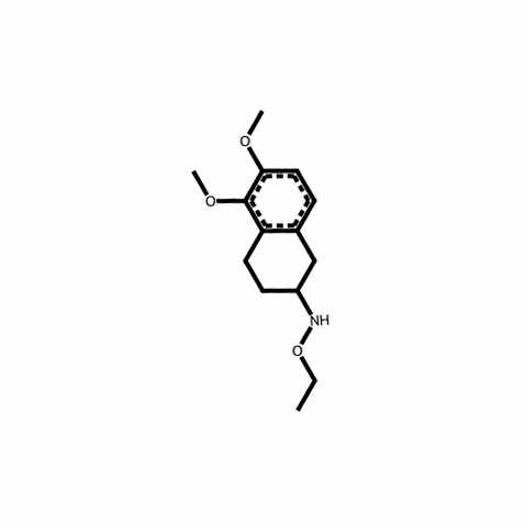 CCONC1CCc2c(ccc(OC)c2OC)C1